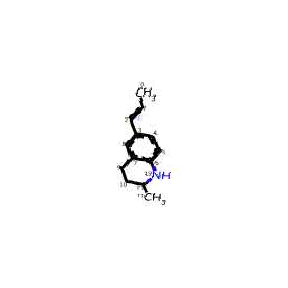 C/C=C/c1ccc2c(c1)CCC(C)N2